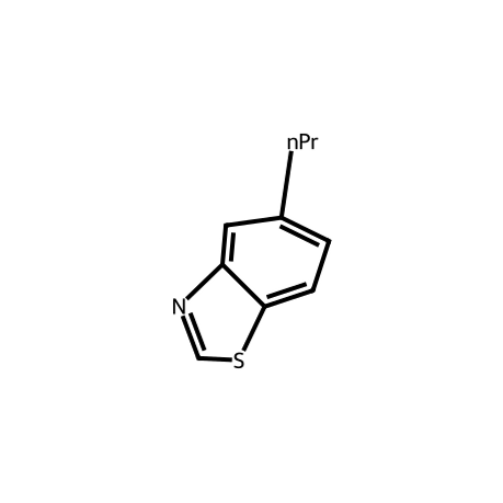 CCCc1ccc2scnc2c1